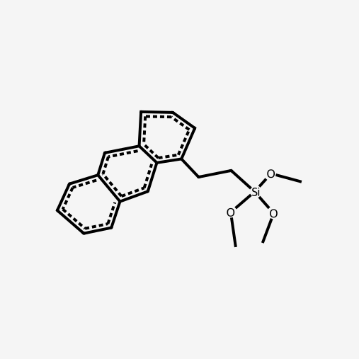 CO[Si](CCc1cccc2cc3ccccc3cc12)(OC)OC